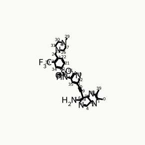 Cc1nc2cnc(N)c(C#Cc3cncc(NS(=O)(=O)c4ccc(CN5CCN(C)CC5)c(C(F)(F)F)c4)c3)c2nc1C